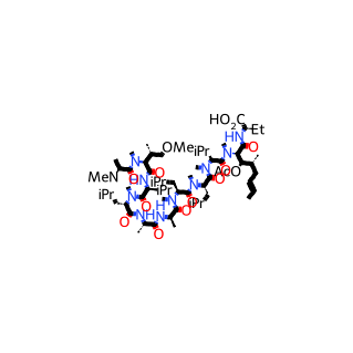 C/C=C/C[C@@H](C)[C@@H](OC(C)=O)[C@@H](C(=O)N[C@@H](CC)C(=O)O)N(C)C(=O)[C@H](C(C)C)N(C)C(=O)[C@H](CC(C)C)N(C)C(=O)[C@H](CC(C)C)N(C)C(=O)[C@@H](C)NC(=O)[C@H](C)NC(=O)[C@H](CC(C)C)N(C)C(=O)[C@@H](NC(=O)[C@H]([C@H](C)COC)N(C)C(=O)[C@@H](C)NC)C(C)C